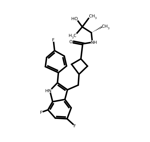 C[C@H](NC(=O)C1CC(Cc2c(-c3ccc(F)cc3)[nH]c3c(F)cc(F)cc23)C1)C(C)(C)O